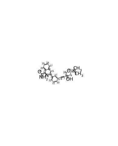 CN(C)CC[C@@](O)(C#Cc1cccc(-c2cc3ccccc3c(C(N)=O)n2)c1)C=O